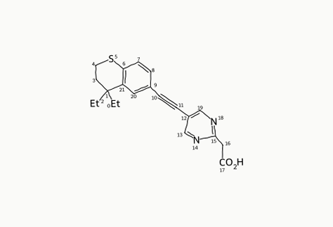 CCC1(CC)CCSc2ccc(C#Cc3cnc(CC(=O)O)nc3)cc21